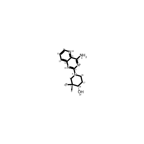 C[C@@]1(F)CN(c2nc(N)c3ncccc3n2)CC[C@@H]1O